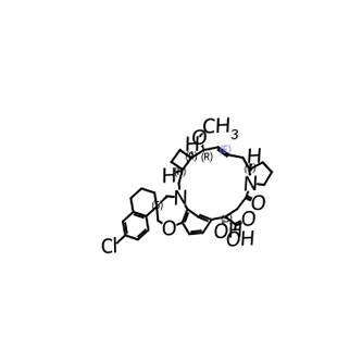 CO[C@H]1/C=C/C[C@@H]2CCCN2C(=O)C[C@@](O)(C(=O)O)c2ccc3c(c2)N(C[C@@H]2CC[C@H]21)C[C@@]1(CCCc2cc(Cl)ccc21)CO3